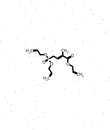 C=CCOC(=O)C(C)=CCP(=O)(OCC=C)OCC=C